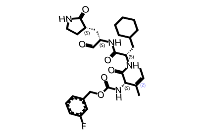 C/C=C(/C)[C@H](NC(=O)OCc1cccc(F)c1)C(=O)N[C@@H](CC1CCCCC1)C(=O)N[C@H](C=O)C[C@@H]1CCNC1=O